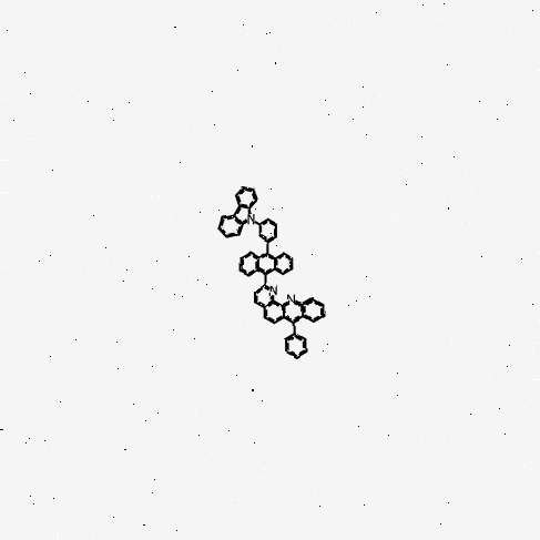 c1ccc(-c2c3ccccc3nc3c2ccc2ccc(-c4c5ccccc5c(-c5cccc(-n6c7ccccc7c7ccccc76)c5)c5ccccc45)nc23)cc1